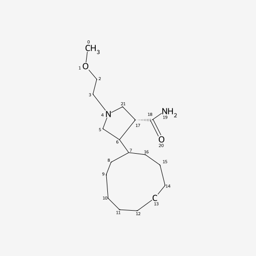 COCCN1CC(C2CCCCCCCCC2)[C@@H](C(N)=O)C1